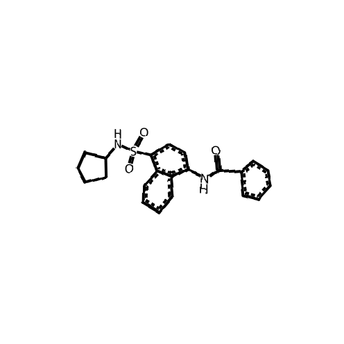 O=C(Nc1ccc(S(=O)(=O)NC2CCCC2)c2ccccc12)c1ccccc1